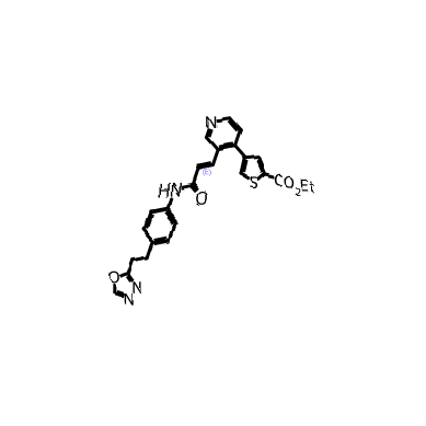 CCOC(=O)c1cc(-c2ccncc2/C=C/C(=O)Nc2ccc(CCc3nnco3)cc2)cs1